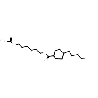 CCCCCC1CCC(C(=O)OCCCCCCOC(C)=O)CC1